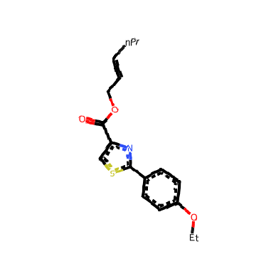 CCC/C=C/COC(=O)c1csc(-c2ccc(OCC)cc2)n1